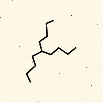 CCCC[C](CCCC)CCCC